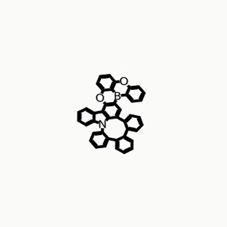 c1ccc2c(c1)Oc1cccc3c1B2c1cc2c4ccccc4c4ccccc4c4ccccc4n4c5ccccc5c(c1O3)c24